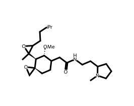 CO[C@@H]1C(CC(=O)NCCC2CCCN2C)CC[C@]2(CO2)[C@H]1C1(C)OC1CCC(C)C